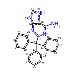 Nc1nc(C(c2ccccc2)(c2ccccc2)c2ccccc2)nc2nc[nH]c12